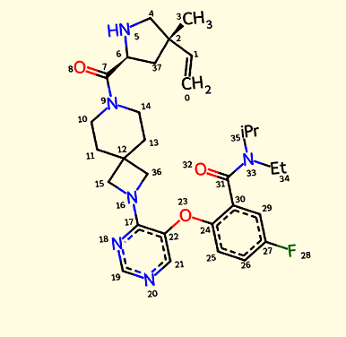 C=C[C@@]1(C)CN[C@H](C(=O)N2CCC3(CC2)CN(c2ncncc2Oc2ccc(F)cc2C(=O)N(CC)C(C)C)C3)C1